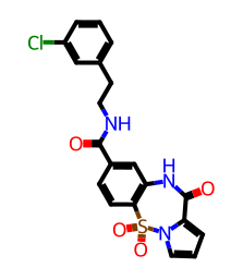 O=C(NCCc1cccc(Cl)c1)c1ccc2c(c1)NC(=O)c1cccn1S2(=O)=O